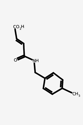 Cc1ccc(CNC(=O)C=CC(=O)O)cc1